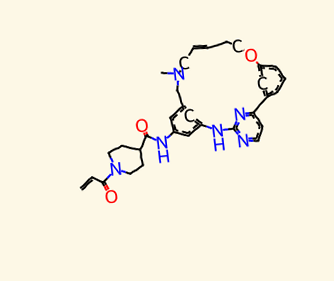 C=CC(=O)N1CCC(C(=O)Nc2cc3cc(c2)Nc2nccc(n2)-c2cccc(c2)OCC/C=C/CN(C)C3)CC1